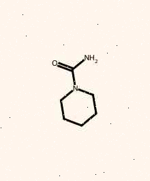 NC(=O)N1CCCCC1